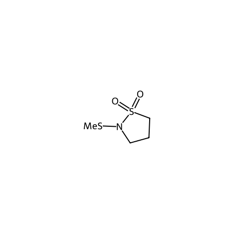 CSN1CCCS1(=O)=O